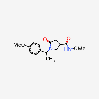 CONC(=O)C1CC(=O)N(C(C)c2ccc(OC)cc2)C1